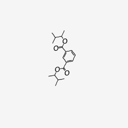 CC(C)C(C)OC(=O)c1cccc(C(=O)OC(C)C(C)C)c1